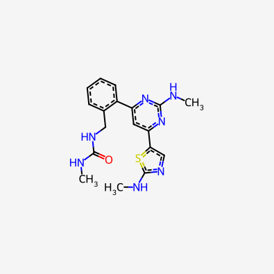 CNC(=O)NCc1ccccc1-c1cc(-c2cnc(NC)s2)nc(NC)n1